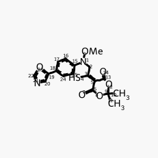 CON(CC(S)=C1C(=O)OC(C)(C)OC1=O)c1ccc(-c2cnco2)cc1